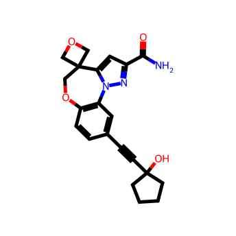 NC(=O)c1cc2n(n1)-c1cc(C#CC3(O)CCCC3)ccc1OCC21COC1